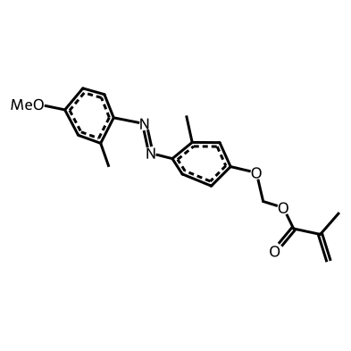 C=C(C)C(=O)OCOc1ccc(N=Nc2ccc(OC)cc2C)c(C)c1